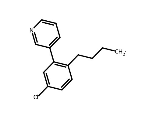 [CH2]CCCc1ccc(Cl)cc1-c1cccnc1